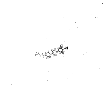 CCCCC[C@H]1CC[C@H](C2CCC(c3cc(F)c(C#N)c(Cl)c3)CC2)CC1